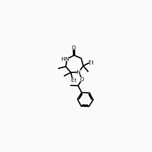 CCC1(C)CC(=O)NC(C)C(C)(CC)N1OC(C)c1ccccc1